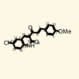 COc1ccc(/C=C/C(=O)c2cc3cc(Cl)ccc3[nH]c2=O)cc1